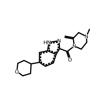 C=C1CN(C)CCN1C(=O)c1n[nH]c2cc(C3CCOCC3)ccc12